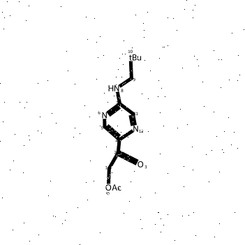 CC(=O)OCC(=O)c1cnc(NCC(C)(C)C)cn1